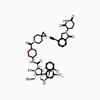 CCN1[C@@H](CC(C)(C)C)[C@@]2(CNc3cc(C(F)(F)F)ncc32)[C@@H](c2cccc(Cl)c2F)[C@@H]1C(=O)NC12CCC(C(=O)N3CCC4(CC3)C[C@@H]4C#Cc3cccc4c3CN(C3CCC(=O)NC3=O)C4=O)(CC1)CC2